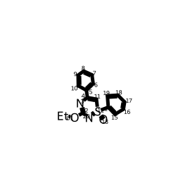 CCOC1=NC(c2ccccc2)=CS(=O)(c2ccccc2)=N1